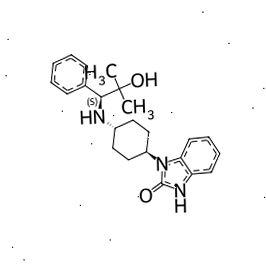 CC(C)(O)[C@@H](N[C@H]1CC[C@H](n2c(=O)[nH]c3ccccc32)CC1)c1ccccc1